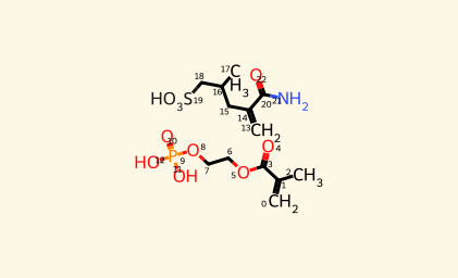 C=C(C)C(=O)OCCOP(=O)(O)O.C=C(CC(C)CS(=O)(=O)O)C(N)=O